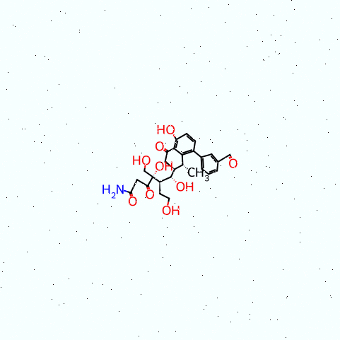 C[C@H]1c2c(-c3cccc(C=O)c3)ccc(O)c2C(=O)C[C@@H]1[C@H](O)[C@@H](CCO)[C@](O)(CO)C(=O)CC(N)=O